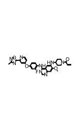 C=CC(=O)N1CCC(Nc2cc3c(Nc4ccc(Oc5ccnc(-c6nc(C)no6)c5)cc4F)ncnc3cc2OC)CC1